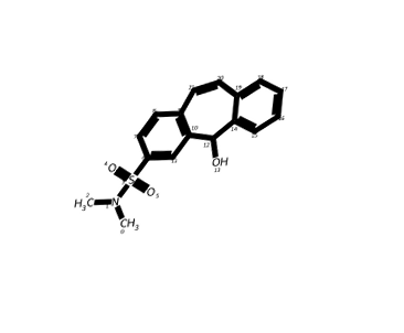 CN(C)S(=O)(=O)c1ccc2c(c1)C(O)c1ccccc1C=C2